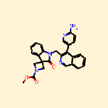 COC(=O)N1CC2(C1)C(=O)N(Cc1ncc3ccccc3c1-c1ccc(N)nc1)c1ccccc12